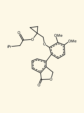 COc1ccc(-c2cccc3c2COC3=O)c(OCC2(OC(=O)CC(C)C)CC2)c1OC